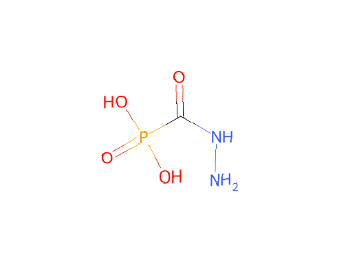 NNC(=O)P(=O)(O)O